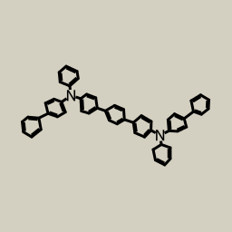 C1=CCC(N(c2ccc(-c3ccccc3)cc2)c2ccc(-c3ccc(-c4ccc(N(c5ccccc5)c5ccc(-c6ccccc6)cc5)cc4)cc3)cc2)C=C1